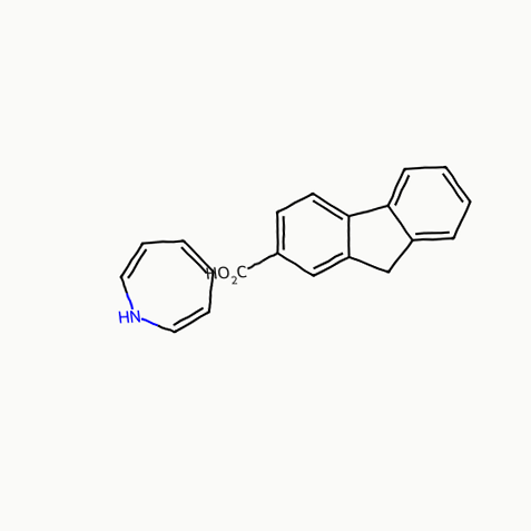 C1=CC=CNC=C1.O=C(O)c1ccc2c(c1)Cc1ccccc1-2